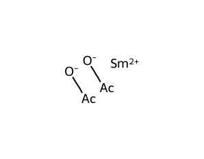 CC(=O)[O-].CC(=O)[O-].[Sm+2]